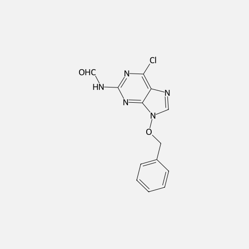 O=CNc1nc(Cl)c2ncn(OCc3ccccc3)c2n1